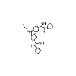 CCCCn1c2ccc(C(=N)Nc3ccccc3)cc2c2cc(C(=N)Nc3ccccc3)ccc21